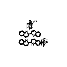 F[P-](F)(F)(F)(F)F.F[P-](F)(F)(F)(F)F.[Ru+2].c1ccc2nc(-c3ccc4ccccc4n3)ccc2c1.c1ccc2nc(-c3ccc4ccccc4n3)ccc2c1